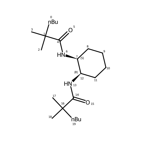 CCCCC(C)(C)C(=O)N[C@H]1CCCC[C@H]1NC(=O)C(C)(C)CCCC